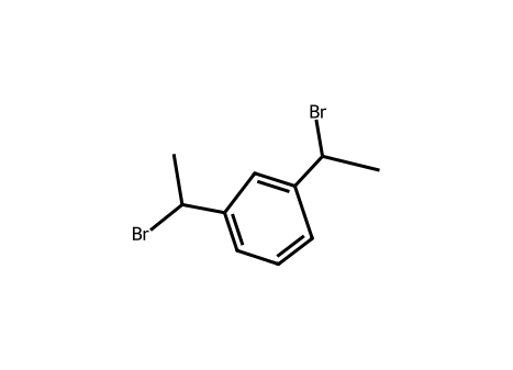 CC(Br)c1cccc(C(C)Br)c1